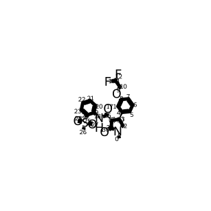 CN1C[C@H](c2cccc(OCC(F)F)c2)[C@@H](C(=O)Nc2ccccc2S(C)(=O)=O)C1=O